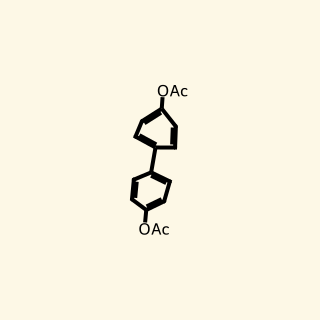 CC(=O)Oc1ccc(-c2ccc(OC(C)=O)cc2)cc1